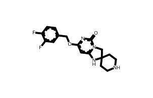 O=c1nc(OCc2ccc(F)c(F)c2)cc2n1CC1(CCNCC1)N2